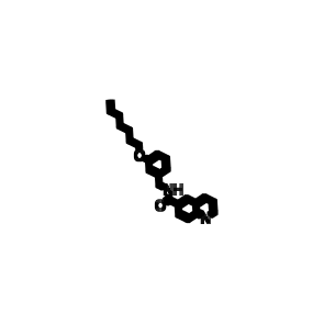 C=CCCCCCOc1cccc(CNC(=O)c2ccc3ncccc3c2)c1